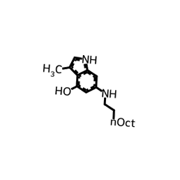 CCCCCCCCCCNc1cc(O)c2c(C)c[nH]c2c1